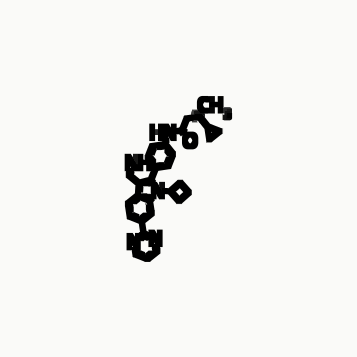 C[C@@H](CC(=O)Nc1ccc(-c2c(C=N)c3ccc(-c4ncccn4)cc3n2C2CCC2)cc1)C1CC1